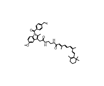 COc1ccc2c(c1)c(CC(=O)NCCNC(=O)/C=C(C)/C=C/C=C(C)\C=C\C1=C(C)CCCC1(C)C)c(C)n2C(=O)c1ccc(CI)cc1